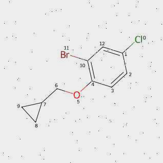 Clc1ccc(OCC2CC2)c(Br)c1